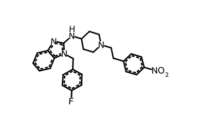 O=[N+]([O-])c1ccc(CCN2CCC(Nc3nc4ccccc4n3Cc3ccc(F)cc3)CC2)cc1